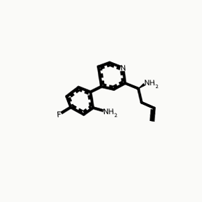 C=CC[C@H](N)c1cc(-c2ccc(F)cc2N)ccn1